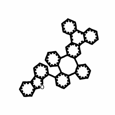 c1ccc2c(c1)-c1cc3c4ccccc4c4ccccc4c3cc1-c1ccccc1-c1c-2cccc1-c1cccc2c1oc1ccccc12